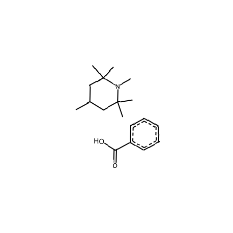 CC1CC(C)(C)N(C)C(C)(C)C1.O=C(O)c1ccccc1